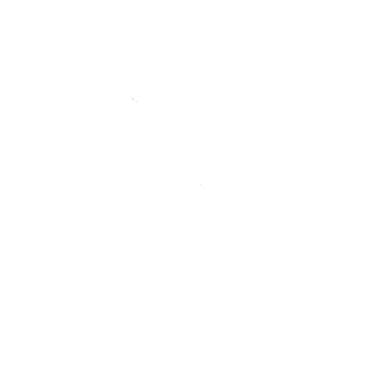 COC(=O)ON1C/C(=C\c2ccc(F)cc2)c2c(c(C(=O)NC(C)c3ccccn3)nn2-c2ccc(Cl)cc2)C1